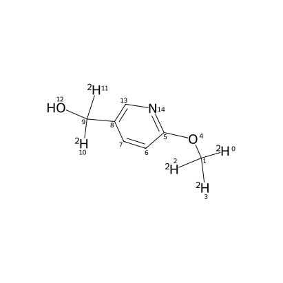 [2H]C([2H])([2H])Oc1ccc(C([2H])([2H])O)cn1